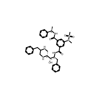 C[C@@H](NC(=O)c1cc(C(=O)N[C@@H](Cc2ccccc2)[C@H](O)[C@H]2CNC(Cc3ccccc3)CN2)cc(N(C)S(C)(=O)=O)c1)c1ccccc1